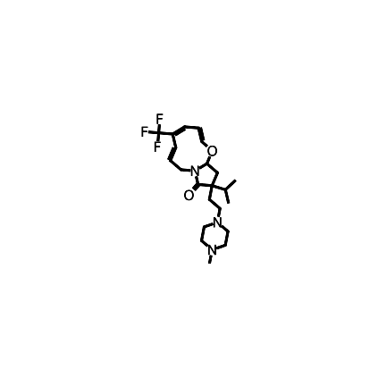 CC(C)C1(CCN2CCN(C)CC2)CC2O/C=C/C=C(C(F)(F)F)\C=C\CN2C1=O